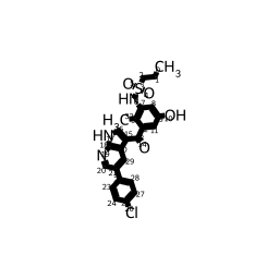 CCCS(=O)(=O)Nc1cc(O)cc(C(=O)c2c[nH]c3ncc(-c4ccc(Cl)cc4)cc23)c1C